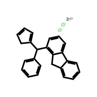 C1=CCC(C(c2ccccc2)c2cccc3c2Cc2ccccc2-3)=C1.[Cl-].[Cl-].[Zr+2]